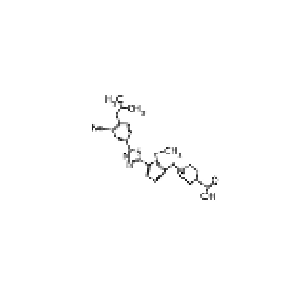 CCc1c(CN2CCC(C(=O)O)CC2)cccc1-c1nnc(-c2ccc(CC(C)C)c(C#N)c2)s1